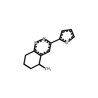 CC1CCCc2nnc(-c3ccco3)cc21